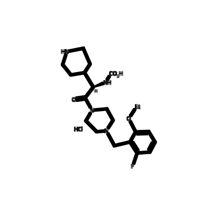 CCOc1cccc(F)c1CN1CCN(C(=O)[C@H](NC(=O)O)C2CCNCC2)CC1.Cl